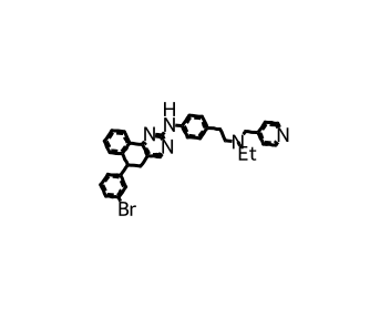 CCN(CCc1ccc(Nc2ncc3c(n2)-c2ccccc2C(c2cccc(Br)c2)C3)cc1)Cc1ccncc1